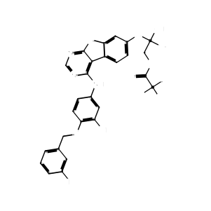 CC(O)(COC(=O)C(F)(F)F)Oc1ccc2c(c1)sc1ncnc(Nc3ccc(OCc4cccc(F)c4)c(Cl)c3)c12